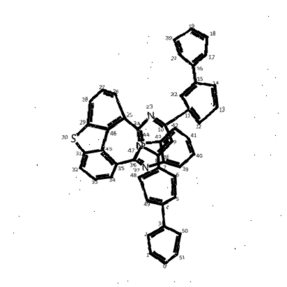 c1ccc(-c2ccc(-c3cc(-c4cccc(-c5ccccc5)c4)nc(-c4cccc5sc6cccc(-c7nc8ccccc8s7)c6c45)n3)cc2)cc1